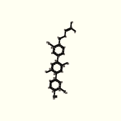 CC(C)=CCOc1ccc(-c2cc(C)c(-c3ccc(O)c(F)c3)cc2C)cc1F